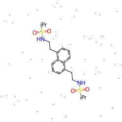 CC(C)S(=O)(=O)NCCc1cccc2c(CCNS(=O)(=O)C(C)C)cccc12